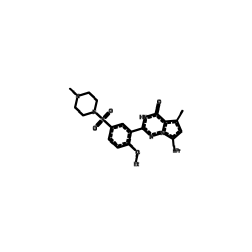 CCCc1cc(C)c2c(=O)[nH]c(-c3cc(S(=O)(=O)N4CCN(C)CC4)ccc3OCC)nn12